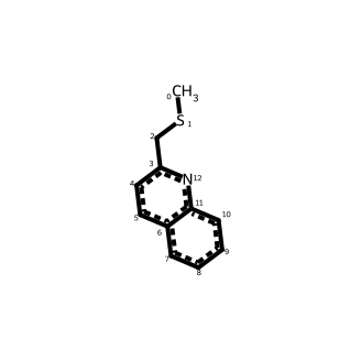 CSCc1ccc2ccccc2n1